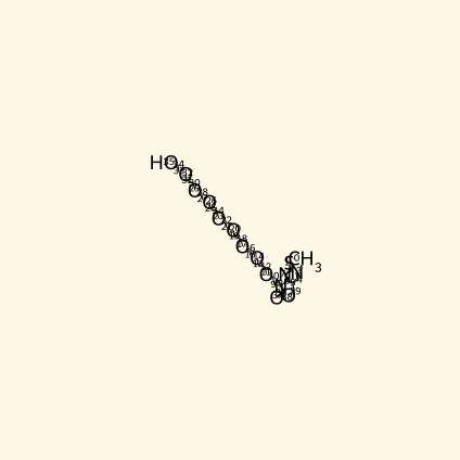 CSc1ncc2c(n1)N(CCOCCOCCOCCOCCOCCOCCOCCOCCO)C(=O)OC2